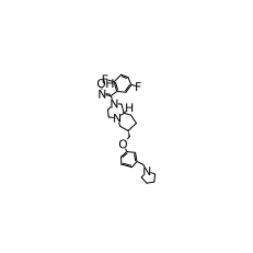 ON=C(c1cc(F)ccc1F)N1CCN2C[C@H](COc3cccc(CN4CCCC4)c3)CC[C@H]2C1